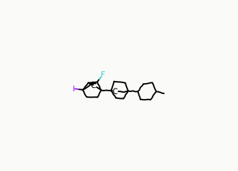 CC1CCC(C23CCC(C45CCC(I)(C=C4F)CC5)(CC2)CC3)CC1